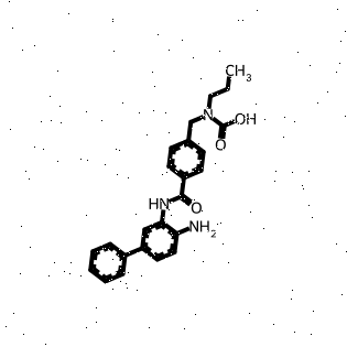 CCCN(Cc1ccc(C(=O)Nc2cc(-c3ccccc3)ccc2N)cc1)C(=O)O